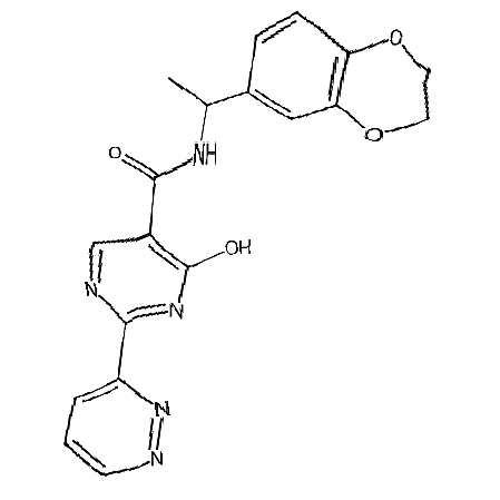 CC(NC(=O)c1cnc(-c2cccnn2)nc1O)c1ccc2c(c1)OCCO2